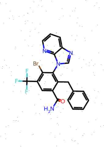 NC(=O)c1cc(C(F)(F)F)c(Br)c(-n2cnc3cccnc32)c1Cc1ccccc1